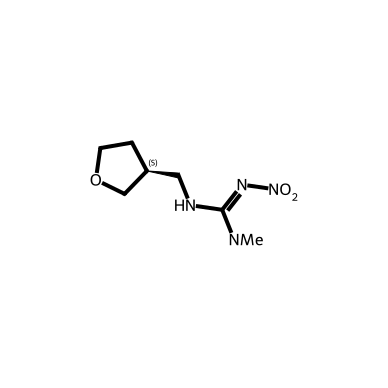 CNC(=N[N+](=O)[O-])NC[C@@H]1CCOC1